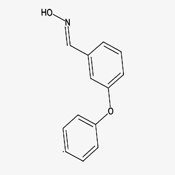 ON=Cc1cccc(Oc2cc[c]cc2)c1